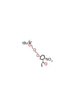 C=CC(=O)c1cc(OCCOCCO[Si](C)(C)C(C)(C)C)ccc1[N+](=O)[O-]